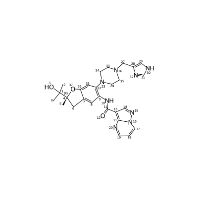 CC(C)(O)[C@@]1(C)Cc2cc(NC(=O)c3cnn4cccnc34)c(N3CCN(Cc4c[nH]cn4)CC3)cc2O1